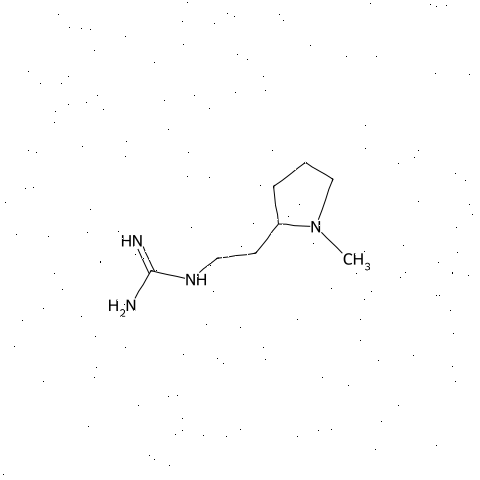 CN1CCCC1CCNC(=N)N